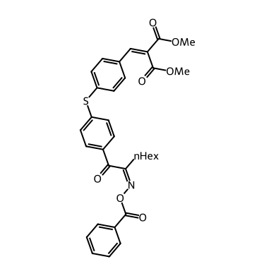 CCCCCCC(=NOC(=O)c1ccccc1)C(=O)c1ccc(Sc2ccc(C=C(C(=O)OC)C(=O)OC)cc2)cc1